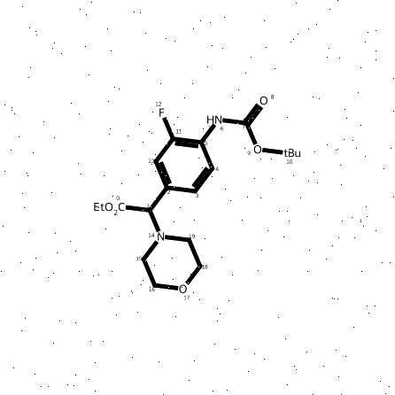 CCOC(=O)C(c1ccc(NC(=O)OC(C)(C)C)c(F)c1)N1CCOCC1